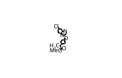 COC(=O)C(C)c1ccc(Oc2cnc3cc(Cl)ccc3n2)cc1